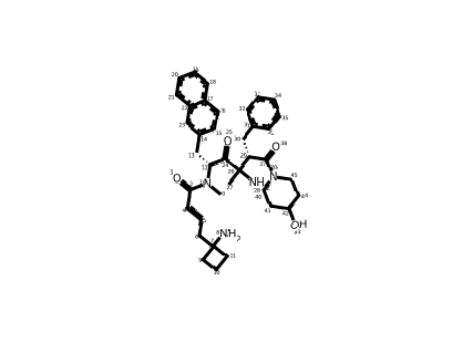 CN(C(=O)/C=C/CC1(N)CCC1)[C@H](Cc1ccc2ccccc2c1)C(=O)C(C)(N)[C@H](Cc1ccccc1)C(=O)N1CCC(O)CC1